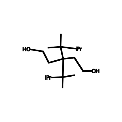 CC(C)C(C)(C)C(CCO)(CCO)C(C)(C)C(C)C